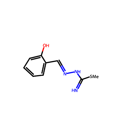 CSC(=N)NN=Cc1ccccc1O